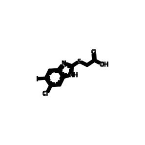 O=C(O)CSc1nc2cc(I)c(Cl)cc2[nH]1